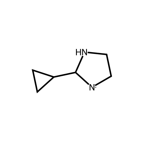 C1CNC(C2CC2)[N]1